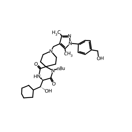 CCCCN1C(=O)[C@@H]([C@H](O)C2CCCCC2)NC(=O)C12CCN(Cc1c(C)nn(-c3ccc(CO)cc3)c1C)CC2